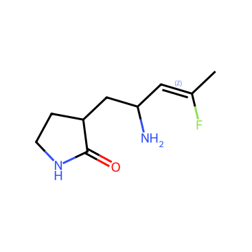 C/C(F)=C/C(N)CC1CCNC1=O